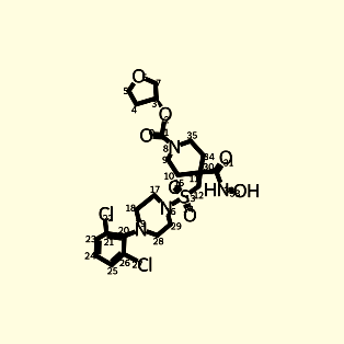 O=C(O[C@H]1CCOC1)N1CCC(CS(=O)(=O)N2CCN(c3c(Cl)cccc3Cl)CC2)(C(=O)NO)CC1